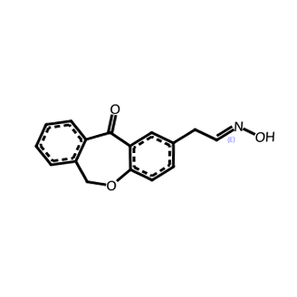 O=C1c2ccccc2COc2ccc(C/C=N/O)cc21